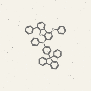 c1ccc(Oc2ccc(N(c3ccccc3)c3ccc(C4(c5ccccc5)c5ccccc5-c5ccccc54)cc3)c3oc4c(-c5ccccc5)cccc4c23)cc1